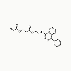 C=CC(=O)OCCC(=O)OCCOC(=O)c1ccccc1C(=O)c1ccccc1